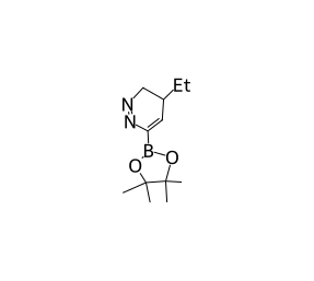 CCC1C=C(B2OC(C)(C)C(C)(C)O2)N=NC1